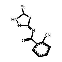 CCC1N[N]C(=NC(=O)c2ccccc2C#N)S1